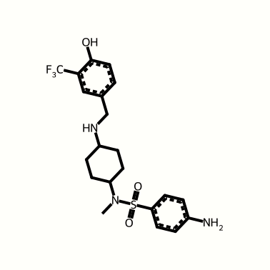 CN(C1CCC(NCc2ccc(O)c(C(F)(F)F)c2)CC1)S(=O)(=O)c1ccc(N)cc1